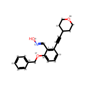 ON=Cc1c(C#CC2CCOCC2)cccc1OCc1ccccc1